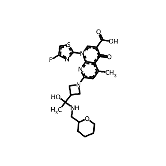 Cc1cc(N2CC(C(C)(O)NCC3CCCCO3)C2)nc2c1c(=O)c(C(=O)O)cn2-c1nc(F)cs1